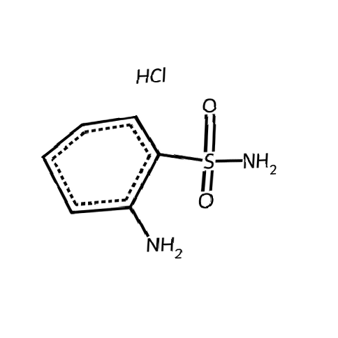 Cl.Nc1ccccc1S(N)(=O)=O